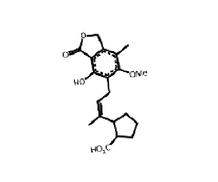 COc1c(C)c2c(c(O)c1C/C=C(/C)C1CCCC1C(=O)O)C(=O)OC2